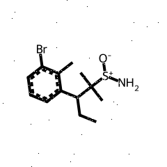 CCC(c1cccc(Br)c1C)C(C)(C)[S+](N)[O-]